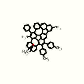 Cc1ccc(-c2c(-c3ccc(C)cc3)c3cc4c5cc(N)cc6cccc(c65)c4c4c5c(-c6ccccc6)c(-c6ccccc6)c(N)c(-c6ccc(C)cc6)c5c(c2-c2ccc(C)cc2)c34)cc1